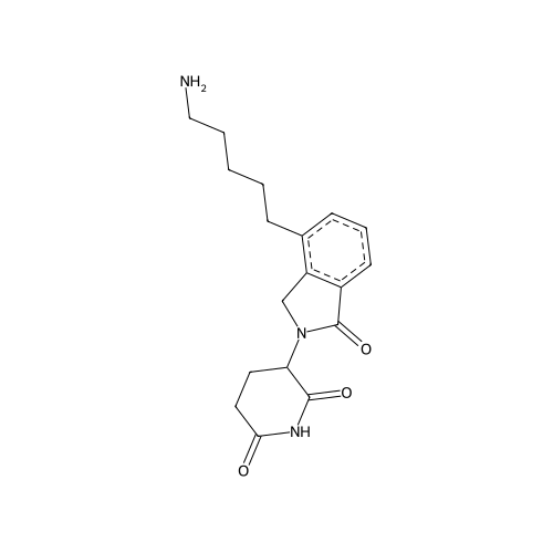 NCCCCCc1cccc2c1CN(C1CCC(=O)NC1=O)C2=O